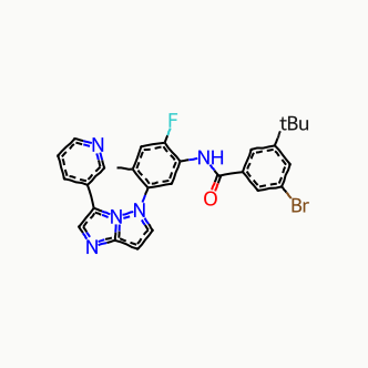 Cc1cc(F)c(NC(=O)c2cc(Br)cc(C(C)(C)C)c2)cc1-n1ccc2ncc(-c3cccnc3)n21